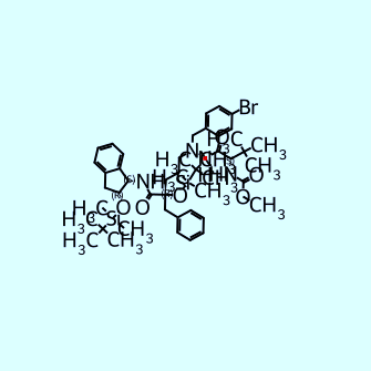 COC(=O)N[C@H](C(=O)NN(CCC[C@](Cc1ccccc1)(O[Si](C)(C)C(C)(C)C)C(=O)N[C@H]1c2ccccc2C[C@H]1O[Si](C)(C)C(C)(C)C)Cc1ccc(Br)cc1)C(C)(C)C